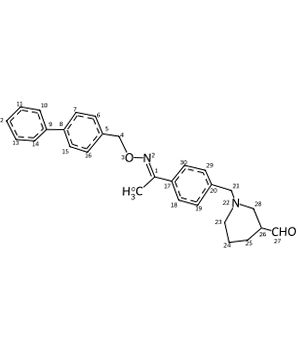 C/C(=N\OCc1ccc(-c2ccccc2)cc1)c1ccc(CN2CCCC(C=O)C2)cc1